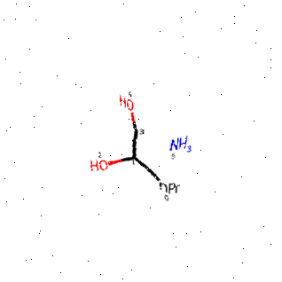 CCCC(O)CO.N